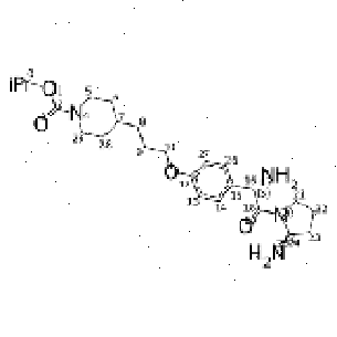 CC(C)OC(=O)N1CCC(CCCOc2ccc([C@H](N)C(=O)N3CCC[C@H]3N)cc2)CC1